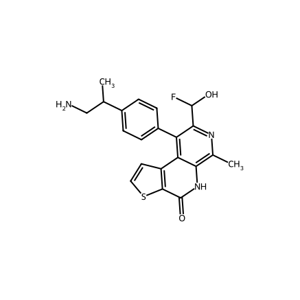 Cc1nc(C(O)F)c(-c2ccc(C(C)CN)cc2)c2c1[nH]c(=O)c1sccc12